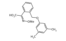 CO/N=C(/C(=O)O)c1ccccc1COc1cc(C)cc(C)c1